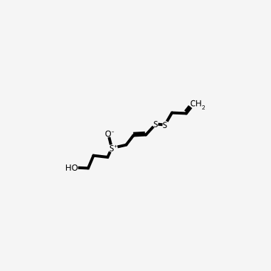 C=CCSSC=CC[S+]([O-])CCCO